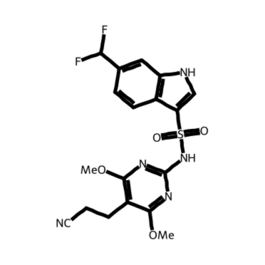 COc1nc(NS(=O)(=O)c2c[nH]c3cc(C(F)F)ccc23)nc(OC)c1CCC#N